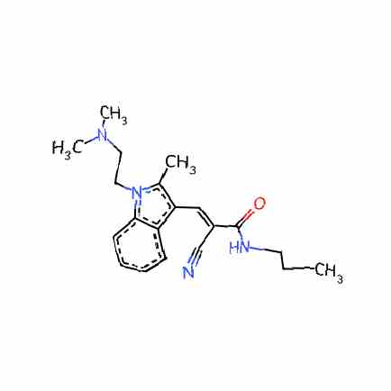 CCCNC(=O)C(C#N)=Cc1c(C)n(CCN(C)C)c2ccccc12